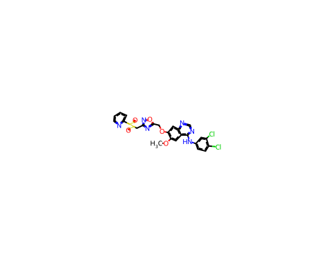 COc1cc2c(Nc3ccc(Cl)c(Cl)c3)ncnc2cc1OCc1nc(CS(=O)(=O)c2ccccn2)no1